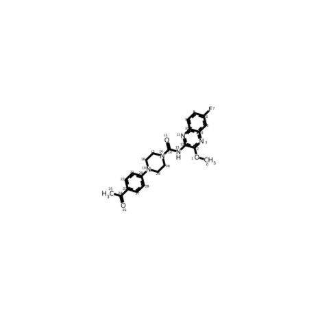 COc1nc2cc(F)ccc2nc1NC(=O)N1CCN(c2ccc(C(C)=O)cc2)CC1